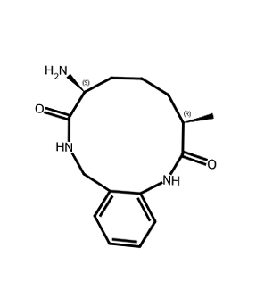 C[C@@H]1CCC[C@H](N)C(=O)NCc2ccccc2NC1=O